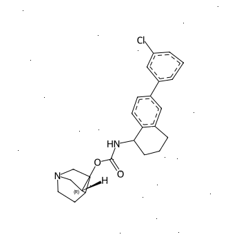 O=C(NC1CCCc2cc(-c3cccc(Cl)c3)ccc21)O[C@H]1CN2CCC1CC2